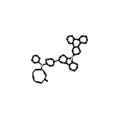 C=C1/C=C\C=C/C/C=C(N(c2ccccc2)c2ccc(-c3ccc4c(c3)c3ccccc3n4-c3ccc4c5ccccc5c5ccccc5c4c3)cc2)\C=C/1